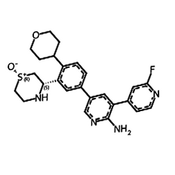 Nc1ncc(-c2ccc(C3CCOCC3)c([C@H]3C[S@@+]([O-])CCN3)c2)cc1-c1ccnc(F)c1